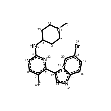 CN1CCC(Nc2ncc(F)c(-c3cnc4ccc(Br)cn34)n2)CC1